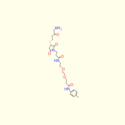 Cc1ccc(NC(=O)CCOCCOCCNC(=O)CCN2C(=O)CC(SCCC(=O)CN)C2=O)cc1